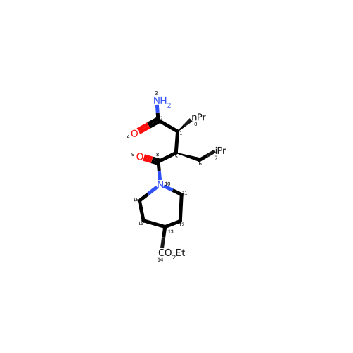 CCC[C@H](C(N)=O)[C@@H](CC(C)C)C(=O)N1CCC(C(=O)OCC)CC1